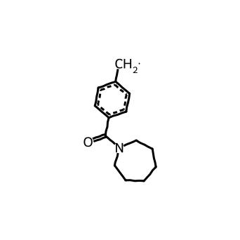 [CH2]c1ccc(C(=O)N2CCCCCC2)cc1